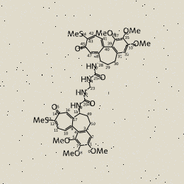 COc1cc2c(c(OC)c1OC)-c1ccc(SC)c(=O)cc1[C@@H](NC(=O)NCNC(=O)N[C@H]1CCc3cc(OC)c(OC)c(OC)c3-c3ccc(SC)c(=O)cc31)CC2